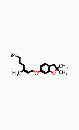 CC(=CCOc1ccc2c(c1)OC(C)(C)C2)CCCC(C)C